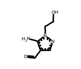 Nc1c(C=O)cnn1CCO